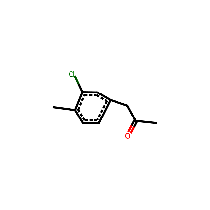 CC(=O)Cc1ccc(C)c(Cl)c1